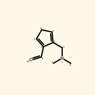 CN(C)CC1=CCC=C1C=O